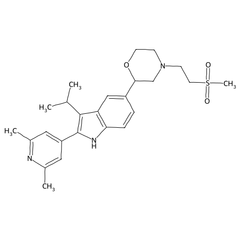 Cc1cc(-c2[nH]c3ccc(C4CN(CCS(C)(=O)=O)CCO4)cc3c2C(C)C)cc(C)n1